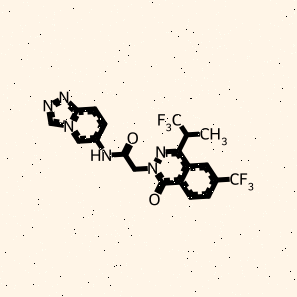 CC(c1nn(CC(=O)Nc2ccc3nncn3c2)c(=O)c2ccc(C(F)(F)F)cc12)C(F)(F)F